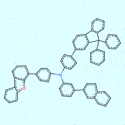 c1ccc(C2(c3ccccc3)c3ccccc3-c3ccc(-c4ccc(N(c5ccc(-c6cccc7c6oc6ccccc67)cc5)c5cccc(-c6ccc7ccccc7c6)c5)cc4)cc32)cc1